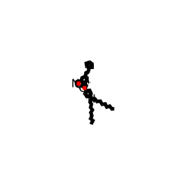 CCCCCCCCCN(CCCCCCCCC)c1ccc(C=CC2([N+](=O)[O-])C=CC(C=Cc3ccccc3)=CC2C#N)cc1